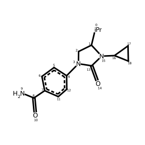 CC(C)C1CN(c2ccc(C(N)=O)cc2)C(=O)N1C1CC1